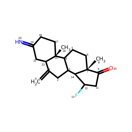 C=C1CC2C(CC[C@]3(C)C(=O)CC(F)C23)[C@@]2(C)CCC(=N)CC12